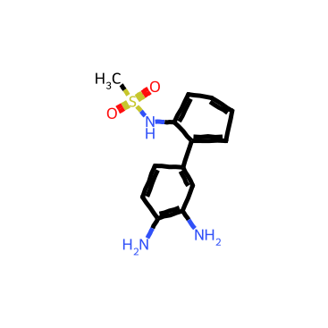 CS(=O)(=O)Nc1ccccc1-c1ccc(N)c(N)c1